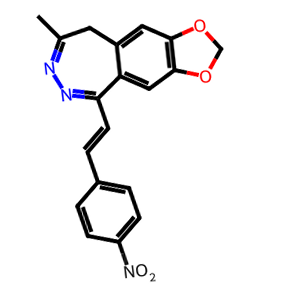 CC1=NN=C(C=Cc2ccc([N+](=O)[O-])cc2)c2cc3c(cc2C1)OCO3